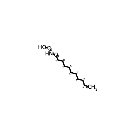 CCCCCCCCCCONOO